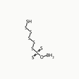 BOS(=S)(=S)SSSSSS